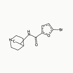 O=C(NC1CN2CCC1CC2)c1ccc(Br)o1